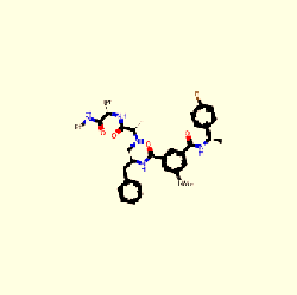 CCNC(=O)[C@@H](NC(=O)[C@H](C)NC[C@H](Cc1ccccc1)NC(=O)c1cc(NC)cc(C(=O)N[C@H](C)c2ccc(Br)cc2)c1)C(C)C